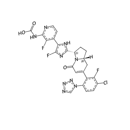 O=C(O)Nc1nccc(-c2[nH]c([C@@H]3CC[C@@H]4CC(c5c(-n6cnnn6)ccc(Cl)c5F)=CC(=O)N43)nc2F)c1F